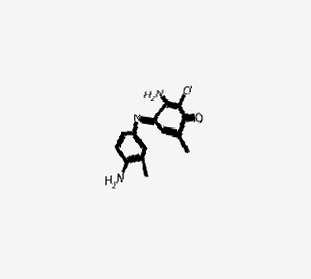 CC1=CC(=Nc2ccc(N)c(C)c2)C(N)=C(Cl)C1=O